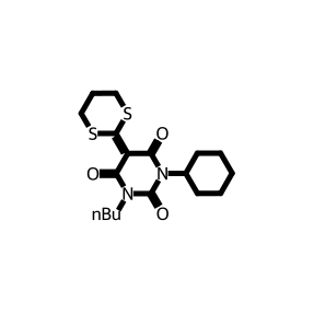 CCCCN1C(=O)C(=C2SCCCS2)C(=O)N(C2CCCCC2)C1=O